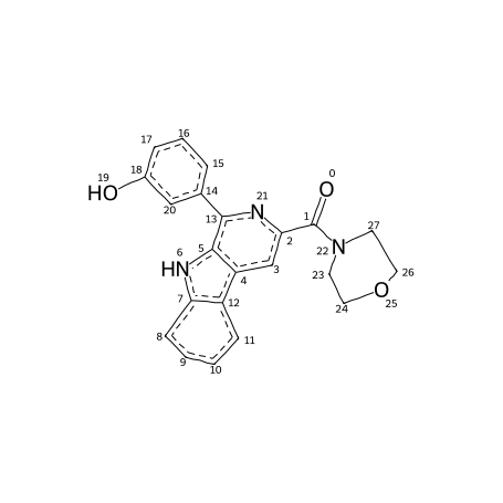 O=C(c1cc2c([nH]c3ccccc32)c(-c2cccc(O)c2)n1)N1CCOCC1